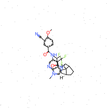 COc1ccc(C(=O)Nc2cnc3c(c([C@@H]4C5CC[C@H]4CN(C(=O)C(C)C)C5)cn3C)c2C(F)(F)F)cc1C#N